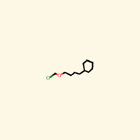 ClCOCCCCC1CCCCC1